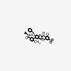 Cc1ccc(C(=O)NC2CC2)cc1-c1cc2cnc(Nc3c(Cl)cc([N+](=O)[O-])cc3Cl)nc2cc1OCc1ccccc1